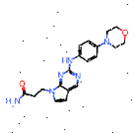 NC(=O)CCn1ccc2cnc(Nc3ccc(N4CCOCC4)cc3)nc21